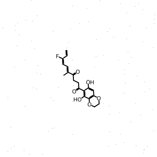 C=C/C(F)=C\C=C(/C)C(=O)CCC(=O)c1c(O)cc2c(c1O)OCCO2